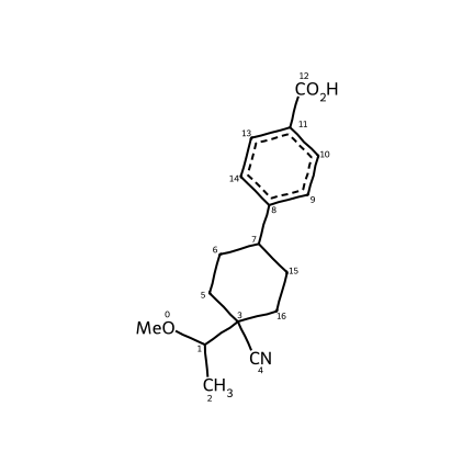 COC(C)C1(C#N)CCC(c2ccc(C(=O)O)cc2)CC1